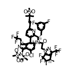 C[C@@H]1c2c(C(F)(F)F)nn(CC(=O)N[C@@H](Cc3cc(F)cc(F)c3)c3nc(C#CC(C)(C)S(C)(=O)=O)ccc3-c3ccc(Cl)c4c(N(S(C)(=O)=O)S(C)(=O)=O)nn(CC(F)(F)F)c34)c2C(F)(F)[C@@H]1C